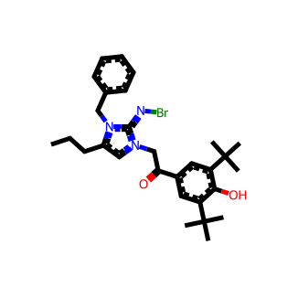 CCCc1cn(CC(=O)c2cc(C(C)(C)C)c(O)c(C(C)(C)C)c2)/c(=N\Br)n1Cc1ccccc1